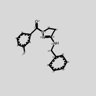 O=C(c1cccc(F)c1)N1CCC(NCc2ccccc2)=N1